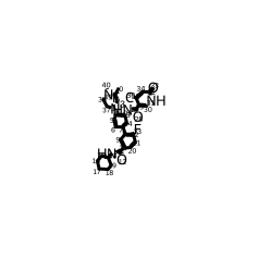 CC1CN(c2ccc(-c3cc(C(=O)NC4CCCCC4)ccc3F)cc2NC(=O)c2c[nH]c(=O)cc2C(F)(F)F)CCN1C